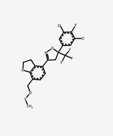 CSOCc1ccc(C2=NOC(c3cc(Cl)c(F)c(Cl)c3)(C(F)(F)F)C2)c2c1OCC2